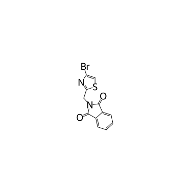 O=C1c2ccccc2C(=O)N1Cc1nc(Br)cs1